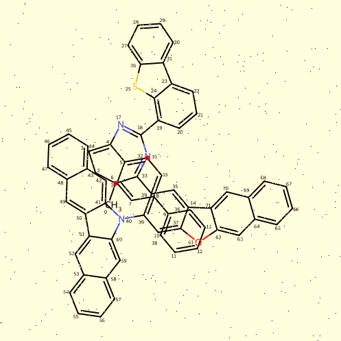 CC1C/C=C(c2ccc(-c3ccccc3)cc2)/N=C(c2cccc3c2sc2ccccc23)\N=C/1c1cc2c(cc1-n1c3cc4ccccc4cc3c3cc4ccccc4cc31)oc1cc3ccccc3cc12